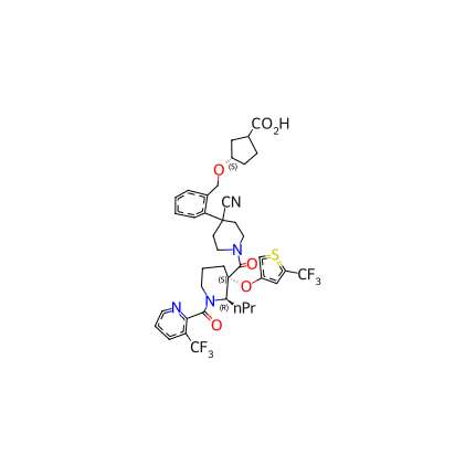 CCC[C@H]1N(C(=O)c2ncccc2C(F)(F)F)CCC[C@@]1(Oc1csc(C(F)(F)F)c1)C(=O)N1CCC(C#N)(c2ccccc2CO[C@H]2CCC(C(=O)O)C2)CC1